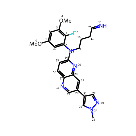 COc1cc(OC)c(F)c(N(CCCC=N)c2ccc3ncc(-c4cnn(C)c4)cc3n2)c1